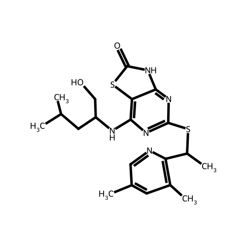 Cc1cnc(C(C)Sc2nc(NC(CO)CC(C)C)c3sc(=O)[nH]c3n2)c(C)c1